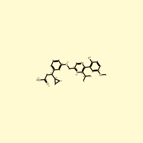 COc1ccc(F)c(-c2ncc(COc3cccc(C(CC(=O)O)C4CC4)c3)nc2C(C)C)c1